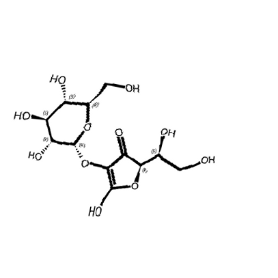 O=C1C(O[C@H]2O[C@H](CO)[C@@H](O)[C@H](O)[C@H]2O)=C(O)O[C@@H]1[C@@H](O)CO